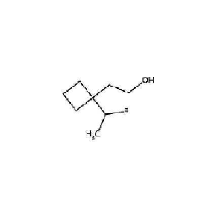 CC(F)C1(CCO)CCC1